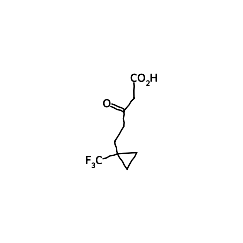 O=C(O)CC(=O)CCC1(C(F)(F)F)CC1